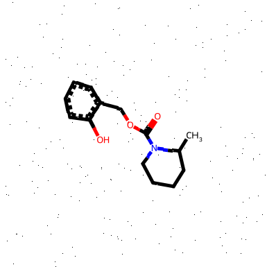 CC1CCCCN1C(=O)OCc1ccccc1O